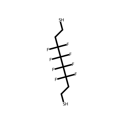 FC(F)(CCS)C(F)(F)C(F)(F)C(F)(F)CCS